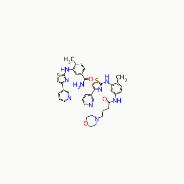 Cc1ccc(C(N)=O)cc1Nc1nc(-c2cccnc2)cs1.Cc1ccc(NC(=O)CCCN2CCOCC2)cc1Nc1nc(-c2cccnc2)cs1